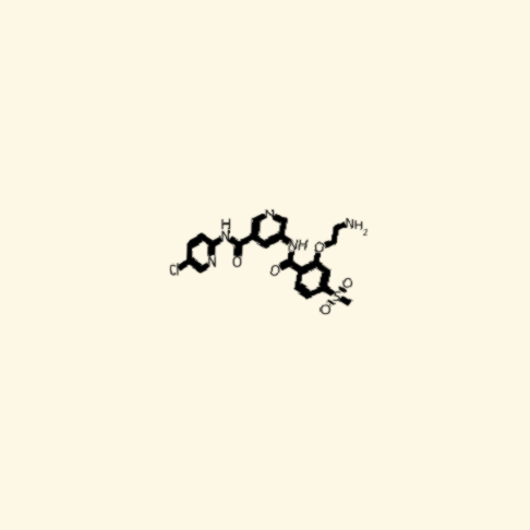 CS(=O)(=O)c1ccc(C(=O)Nc2cncc(C(=O)Nc3ccc(Cl)cn3)c2)c(OCCN)c1